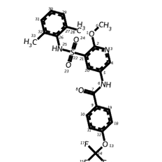 COc1ncc(NC(=O)c2ccc(OC(F)(F)F)cc2)cc1S(=O)(=O)Nc1c(C)cccc1C